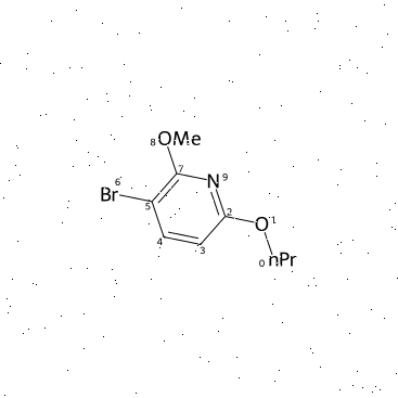 CCCOc1ccc(Br)c(OC)n1